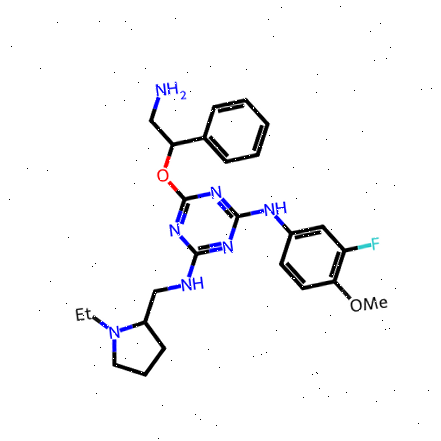 CCN1CCCC1CNc1nc(Nc2ccc(OC)c(F)c2)nc(OC(CN)c2ccccc2)n1